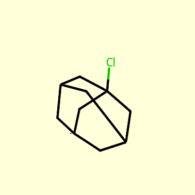 ClC12C[C]3CC(CC(C3)C1)C2